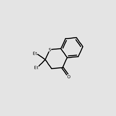 CCC1(CC)CC(=O)c2ccccc2S1